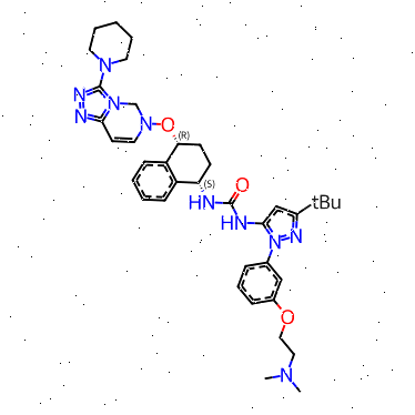 CN(C)CCOc1cccc(-n2nc(C(C)(C)C)cc2NC(=O)N[C@H]2CC[C@@H](ON3C=Cc4nnc(N5CCCCC5)n4C3)c3ccccc32)c1